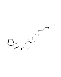 O=C(O)CCCC(=O)Nc1nc2c(s1)CN(C(=O)c1cc3c(F)cc(F)cc3[nH]1)CC2